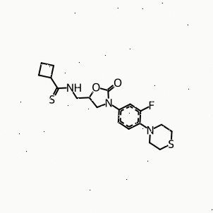 O=C1OC(CNC(=S)C2CCC2)CN1c1ccc(N2CCSCC2)c(F)c1